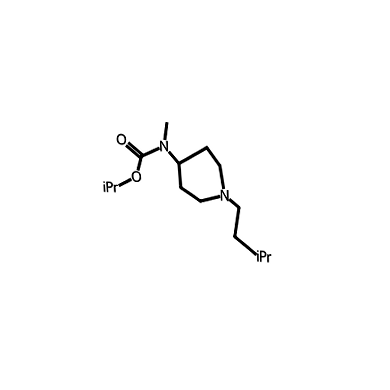 CC(C)CCN1CCC(N(C)C(=O)OC(C)C)CC1